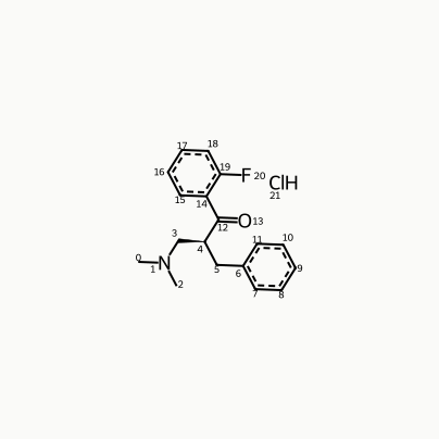 CN(C)C[C@H](Cc1ccccc1)C(=O)c1ccccc1F.Cl